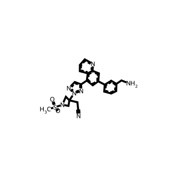 CS(=O)(=O)N1CC(CC#N)(n2ncc(-c3cc(-c4cccc(CN)c4)cc4ncccc34)n2)C1